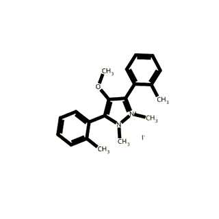 COc1c(-c2ccccc2C)n(C)[n+](C)c1-c1ccccc1C.[I-]